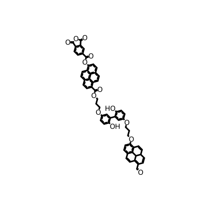 O=CC1=C2C=Cc3ccc(OCCCOc4ccc(O)c(-c5cc(OCCCOC(=O)c6ccc7ccc8c(OC(=O)c9ccc%10c(c9)C(=O)OC%10=O)ccc9ccc6c7c98)ccc5O)c4)c4c3C2C(C=C1)C=C4